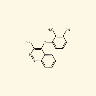 CCCCc1nnc2ccccc2c1Oc1cccc(C#N)c1C